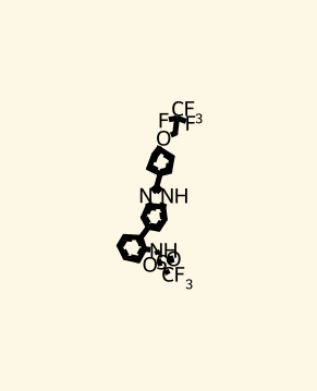 O=S(=O)(Nc1ccccc1-c1ccc2[nH]c(-c3ccc(OCC(F)(F)C(F)(F)F)cc3)nc2c1)C(F)(F)F